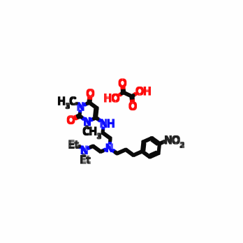 CCN(CC)CCN(CCCc1ccc([N+](=O)[O-])cc1)CCNc1cc(=O)n(C)c(=O)n1C.O=C(O)C(=O)O